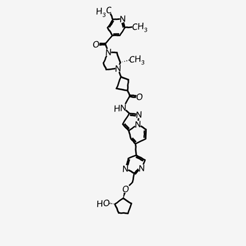 Cc1cc(C(=O)N2CCN(C3CC(C(=O)Nc4cc5cc(-c6cnc(CO[C@H]7CCC[C@@H]7O)nc6)ccn5n4)C3)[C@@H](C)C2)cc(C)n1